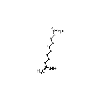 CCCCCCCCCCCCCCCC(C)[NH]